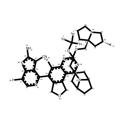 [2H]C([2H])([2H])OCCN1CC2CCC(C1)N2c1nc(OC[C@@]23CCCN2C[C@H](F)C3)nc2c(F)c(-c3ncc(F)c4sc(N)c(C#N)c34)c3c(c12)COC3